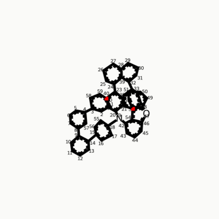 c1ccc(-c2cccc(-c3ccccc3-c3ccc(N(c4ccc(-c5cccc6cccc(-c7ccccc7)c56)cc4)c4cccc5oc6ccccc6c45)cc3)c2)cc1